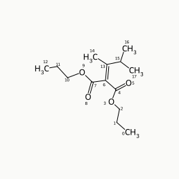 CCCOC(=O)C(C(=O)OCCC)=C(C)C(C)C